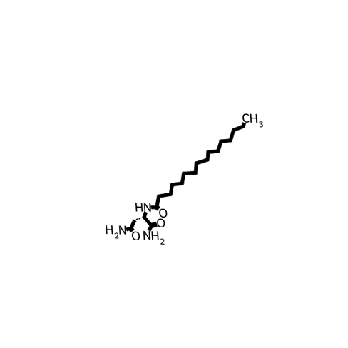 CCCCCCCCCCCCCCCC(=O)N[C@@H](CC(N)=O)C(N)=O